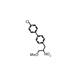 COCC(Cc1ccc(-c2ccc(Cl)cc2)cc1)[N+](=O)[O-]